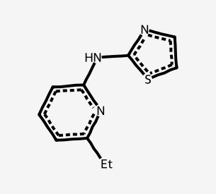 CCc1cccc(Nc2nccs2)n1